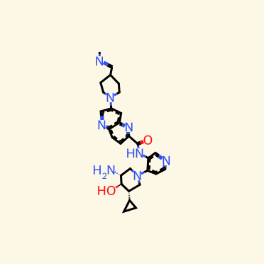 C/N=C/C1CCN(c2cnc3ccc(C(=O)Nc4cnccc4N4C[C@@H](N)[C@H](O)[C@@H](C5CC5)C4)nc3c2)CC1